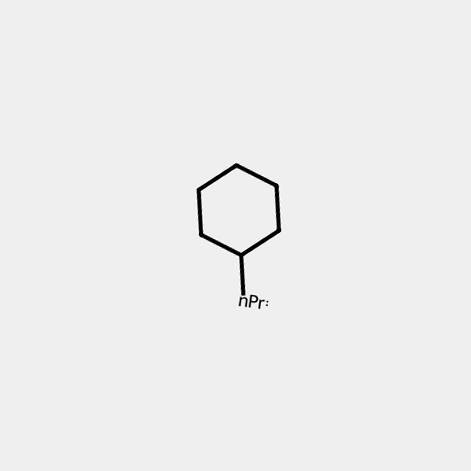 CC[C]C1CCCCC1